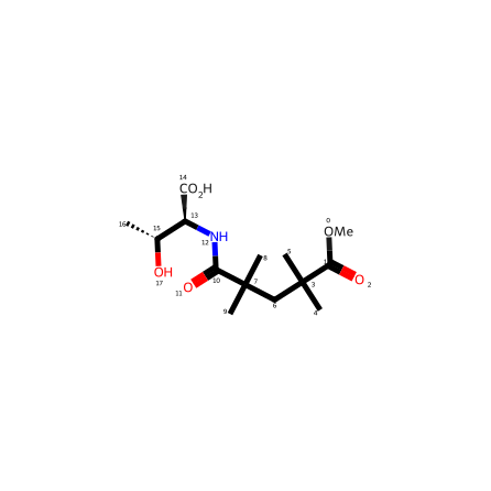 COC(=O)C(C)(C)CC(C)(C)C(=O)N[C@H](C(=O)O)[C@@H](C)O